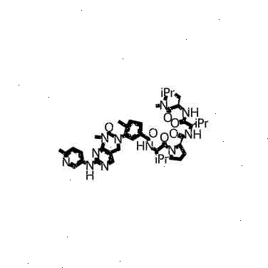 Cc1ccc(Nc2ncc3c(n2)N(C)C(=O)N(c2cc(C(=O)NC(C(=O)N4CCC[C@@H]4C(=O)N[C@H](C(=O)N[C@H](CC(C)C)C(=O)N(C)C)C(C)C)C(C)C)ccc2C)C3)cn1